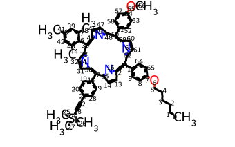 CCCCCCOc1ccc(C2=C3C=CC(=N3)C(c3ccc(C#C[Si](C)(C)C)cc3)=C3C=CC(=N3)C(c3c(C)cc(C)cc3C)=C3C=CC(=N3)C(c3ccc(OC)cc3)=C3C=CC2=N3)cc1